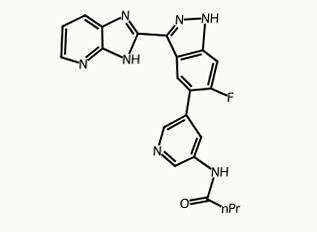 CCCC(=O)Nc1cncc(-c2cc3c(-c4nc5cccnc5[nH]4)n[nH]c3cc2F)c1